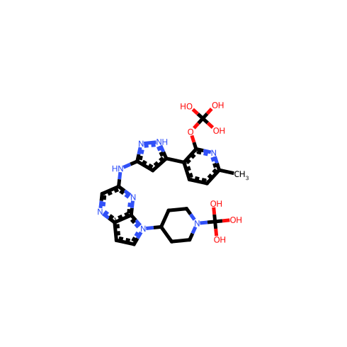 Cc1ccc(-c2cc(Nc3cnc4ccn(C5CCN(C(O)(O)O)CC5)c4n3)n[nH]2)c(OC(O)(O)O)n1